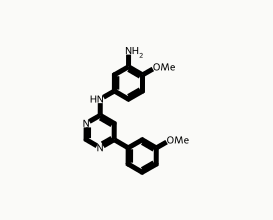 COc1cccc(-c2cc(Nc3ccc(OC)c(N)c3)ncn2)c1